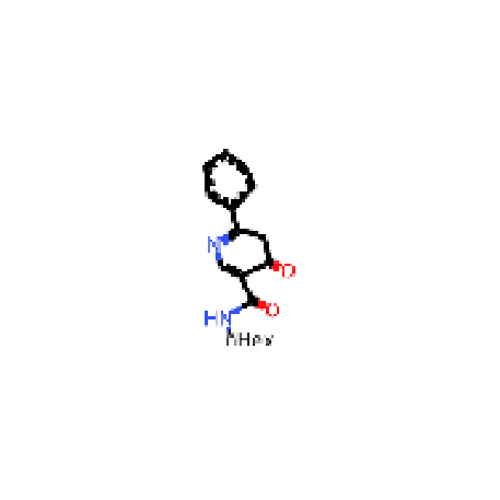 CCCCCCNC(=O)C1=CN=C(c2ccccc2)CC1=O